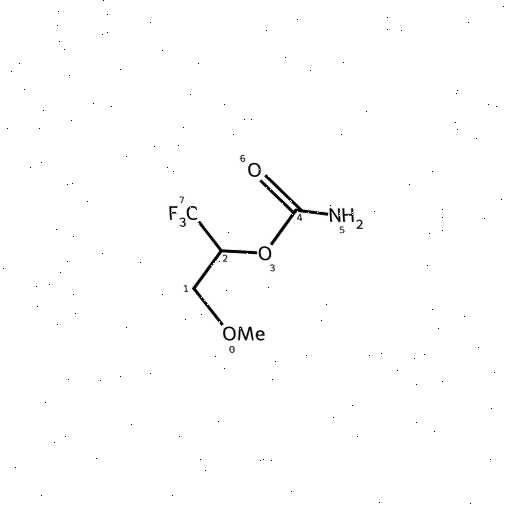 COCC(OC(N)=O)C(F)(F)F